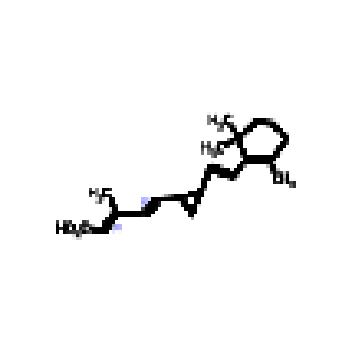 CC1=C(C=CC2CC2/C=C/C(C)=C/C(=O)O)C(C)(C)CCC1